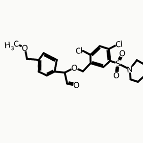 COCc1ccc(C(C=O)OCc2cc(S(=O)(=O)N3CCCCC3)c(Cl)cc2Cl)cc1